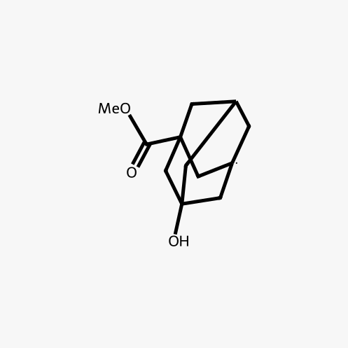 COC(=O)C12C[C]3CC(CC(O)(C3)C1)C2